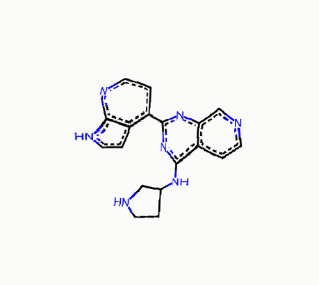 c1cc2c(NC3CCNC3)nc(-c3ccnc4[nH]ccc34)nc2cn1